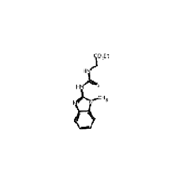 CCOC(=O)CNC(=S)Nc1nc2ccccc2n1C